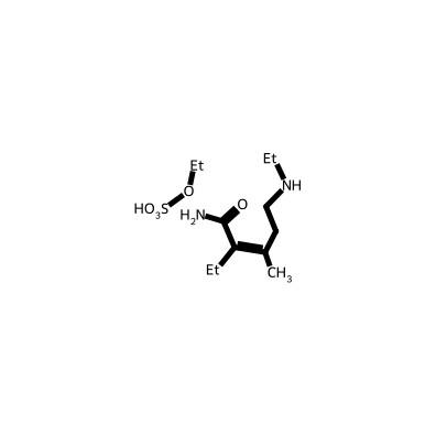 CCNCCC(C)=C(CC)C(N)=O.CCOS(=O)(=O)O